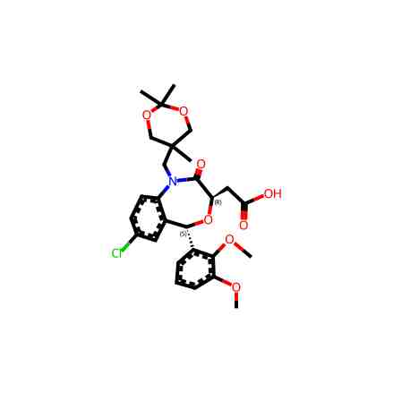 COc1cccc([C@H]2O[C@H](CC(=O)O)C(=O)N(CC3(C)COC(C)(C)OC3)c3ccc(Cl)cc32)c1OC